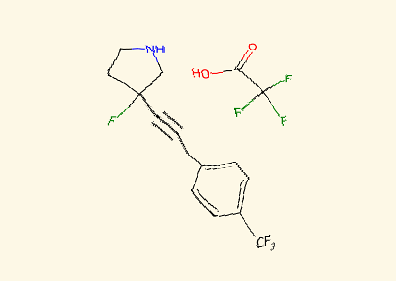 FC1(C#Cc2ccc(C(F)(F)F)cc2)CCNC1.O=C(O)C(F)(F)F